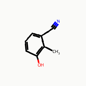 Cc1c(O)cccc1C#N